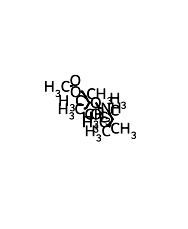 CC(=O)OCC(C)(C)C(OC(=O)NC(C)(C)CC(C)(C)C)C(C)C